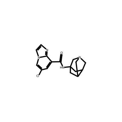 O=C(NC12CC3CN(CC3C1)C2)c1cc(Cl)cn2ccnc12